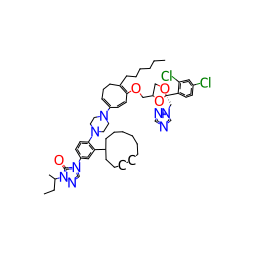 CCCCCC/C1=C(OCC2CO[C@@](Cn3cncn3)(c3ccc(Cl)cc3Cl)O2)/C=C\C(N2CCN(c3ccc(-n4cnn(C(C)CC)c4=O)cc3C3CCCCCCCCCC3)CC2)=C/CC1